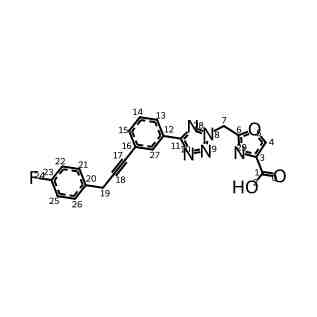 O=C(O)c1coc(Cn2nnc(-c3cccc(C#CCc4ccc(F)cc4)c3)n2)n1